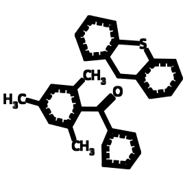 Cc1cc(C)c(C(=O)c2ccccc2)c(C)c1.c1ccc2c(c1)Cc1ccccc1S2